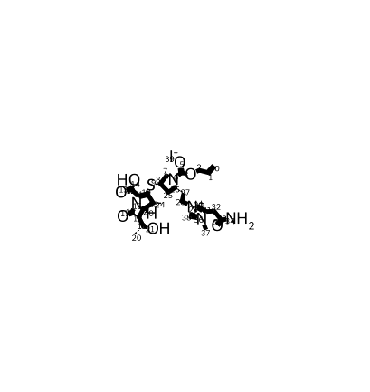 C=CCOC(=O)N1C[C@@H](SC2=C(C(=O)O)N3C(=O)[C@H]([C@@H](C)O)[C@H]3[C@H]2C)C[C@H]1CC[n+]1cc(CC(N)=O)n(C)c1.[I-]